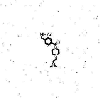 CC(=O)NCc1ccc(C(=O)N2CCN(CCN(C)C)CC2)cc1